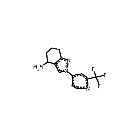 NC1CCCc2nn(-c3ccnc(C(F)(F)F)c3)cc21